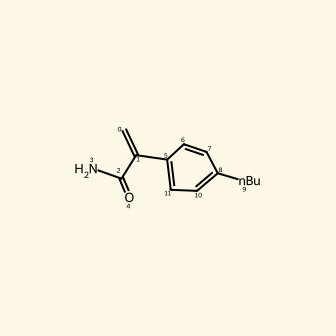 C=C(C(N)=O)c1ccc(CCCC)cc1